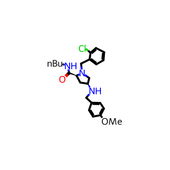 CCCCNC(=O)[C@@H]1C[C@H](NCc2ccc(OC)cc2)CN1Cc1ccccc1Cl